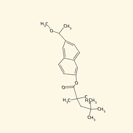 COC(C)c1ccc2cc(OC(=O)C(C)(C)CC(C)(C)C)ccc2c1